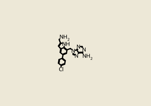 NCc1cc2cc(-c3ccc(Cl)cc3)cc(Cn3cnc4c(N)ncnc43)c2[nH]1